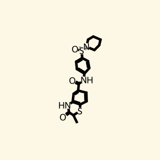 CC1Sc2ccc(C(=O)Nc3ccc([S+]([O-])N4CCCCC4)cc3)cc2NC1=O